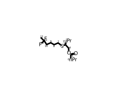 CCCC(=O)OCC(SCCCCC(C)(F)F)C(C)C